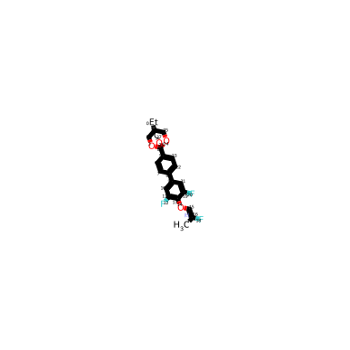 CCC12COC(c3ccc(-c4cc(F)c(O/C=C(\C)F)c(F)c4)cc3)(OC1)OC2